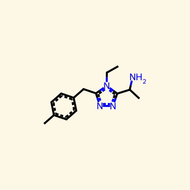 CCn1c(Cc2ccc(C)cc2)nnc1C(C)N